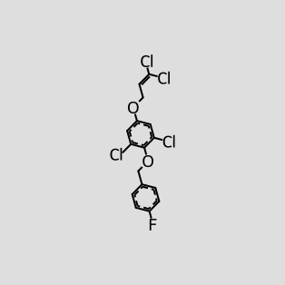 Fc1ccc(COc2c(Cl)cc(OCC=C(Cl)Cl)cc2Cl)cc1